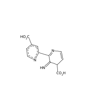 N=C1C(c2cc(C(=O)O)ccn2)=NC=CC1C(=O)O